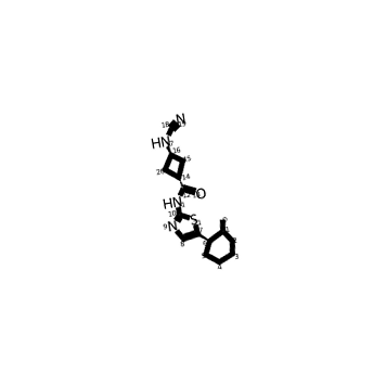 CC1CCCC[C@H]1c1cnc(NC(=O)[C@H]2C[C@H](NC#N)C2)s1